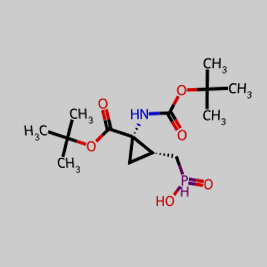 CC(C)(C)OC(=O)N[C@@]1(C(=O)OC(C)(C)C)C[C@H]1C[PH](=O)O